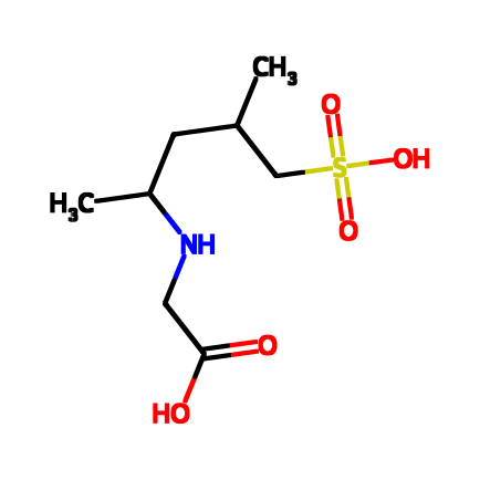 CC(CC(C)NCC(=O)O)CS(=O)(=O)O